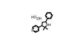 CC1(C)NC(c2ccccc2)CC1c1ccncc1.Cl.Cl